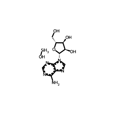 Nc1ncnc2c1ncn2[C@@H]1O[C@H](CO)[C@@H](O)[C@H]1O.O[SiH3]